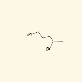 CC(C)CCCC(C)Br